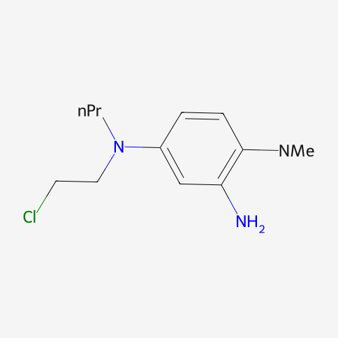 CCCN(CCCl)c1ccc(NC)c(N)c1